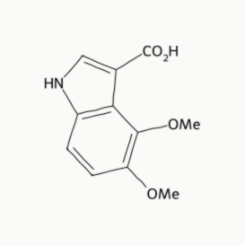 COc1ccc2[nH]cc(C(=O)O)c2c1OC